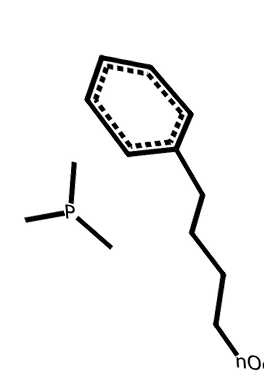 CCCCCCCCCCCCc1ccccc1.CP(C)C